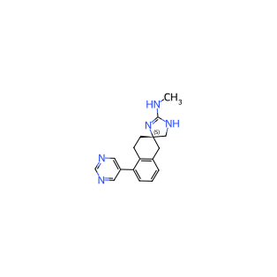 CNC1=N[C@]2(CCc3c(cccc3-c3cncnc3)C2)CN1